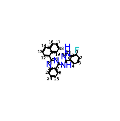 Fc1cccc2c(Nc3nc(-c4cccc5ccccc45)nc4ccccc34)n[nH]c12